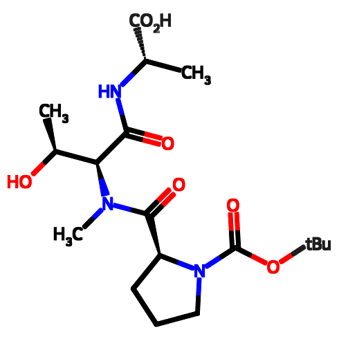 C[C@H](NC(=O)[C@H]([C@H](C)O)N(C)C(=O)[C@@H]1CCCN1C(=O)OC(C)(C)C)C(=O)O